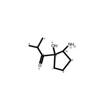 CC(C)C(=O)C1(O)CCCC1N